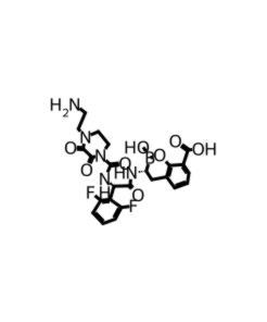 NCCN1CCN(C(=O)N[C@@H](C(=O)N[C@H]2Cc3cccc(C(=O)O)c3OB2O)c2c(F)cccc2F)C(=O)C1=O